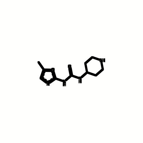 Cc1cnc(NC(=O)NC2CCNCC2)o1